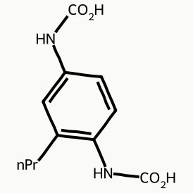 CCCc1cc(NC(=O)O)ccc1NC(=O)O